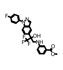 COC(=O)c1cccc(NCC(O)(c2ccc3c(cnn3-c3ccc(F)cc3)c2)C(F)(F)F)c1